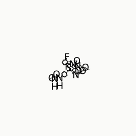 CCOCCn1c(=O)c2c(CN(C)CCOC)c(-c3ccc(NC(=O)NOC)cc3)sc2n(Cc2c(F)cccc2F)c1=O